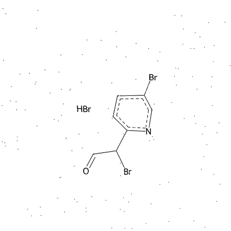 Br.O=CC(Br)c1ccc(Br)cn1